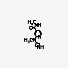 CNC(=O)c1ccnc(N(C)C2CNC2)c1